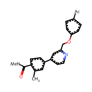 CNC(=O)c1ccc(-c2ccnc(COc3ccc(C(C)=O)cc3)c2)cc1C